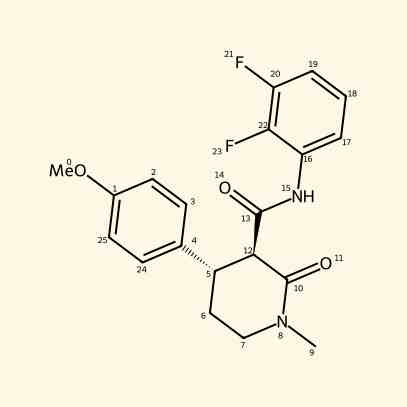 COc1ccc([C@H]2CCN(C)C(=O)[C@@H]2C(=O)Nc2cccc(F)c2F)cc1